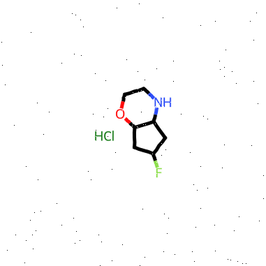 Cl.FC1CC2NCCOC2C1